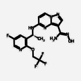 C[C@@H](Nc1ccn2ncc(/C(N)=N/O)c2n1)c1cc(F)cnc1OCC(F)(F)F